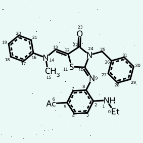 CCNc1ccc(C(C)=O)cc1/N=C1\S/C(=C\N(C)c2ccccc2)C(=O)N1Cc1ccccc1